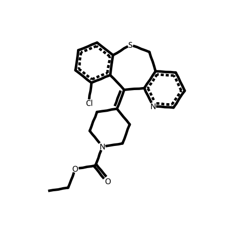 CCOC(=O)N1CCC(=C2c3ncccc3CSc3cccc(Cl)c32)CC1